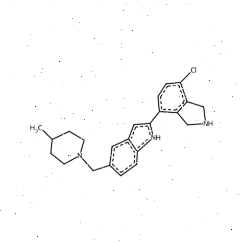 CC1CCN(Cc2ccc3[nH]c(-c4ccc(Cl)c5c4CNC5)cc3c2)CC1